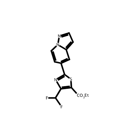 CCOC(=O)c1sc(-c2ccn3nccc3c2)nc1C(F)F